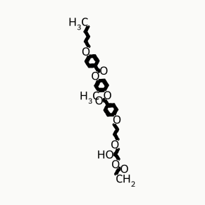 C=CC(=O)OCC(O)COCCCCOc1ccc(C(=O)Oc2ccc(OC(=O)c3ccc(OCCCCCC)cc3)cc2C)cc1